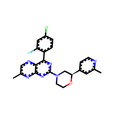 Cc1cc([C@@H]2CN(c3nc(-c4ccc(Cl)cc4F)c4ncc(C)nc4n3)CCO2)ccn1